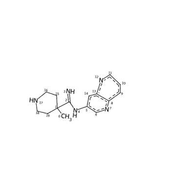 CC1(C(=N)Nc2cnc3cccnc3c2)CCNCC1